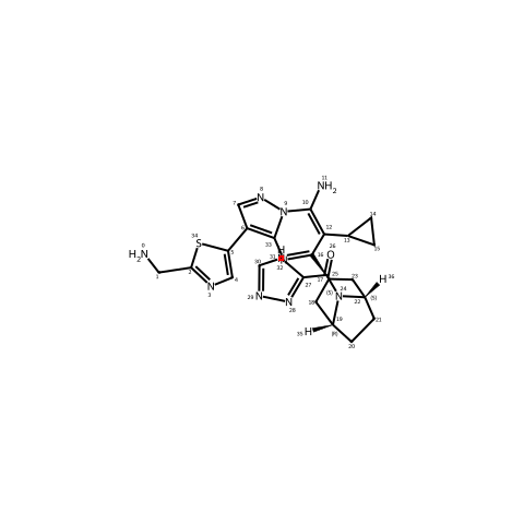 NCc1ncc(-c2cnn3c(N)c(C4CC4)c([C@@H]4C[C@H]5CC[C@@H](C4)N5C(=O)c4nnc[nH]4)nc23)s1